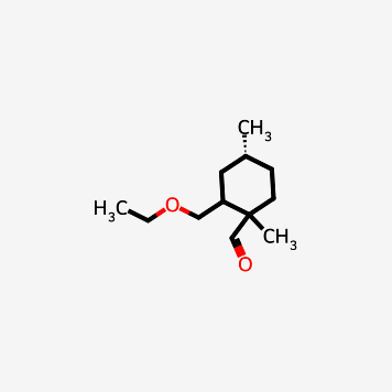 CCOCC1C[C@H](C)CCC1(C)C=O